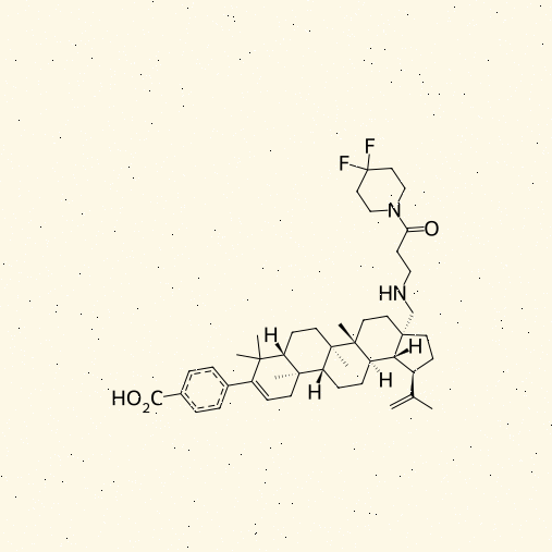 C=C(C)[C@@H]1CC[C@]2(CNCCC(=O)N3CCC(F)(F)CC3)CC[C@]3(C)[C@H](CC[C@@H]4[C@@]5(C)CC=C(c6ccc(C(=O)O)cc6)C(C)(C)[C@@H]5CC[C@]43C)[C@@H]12